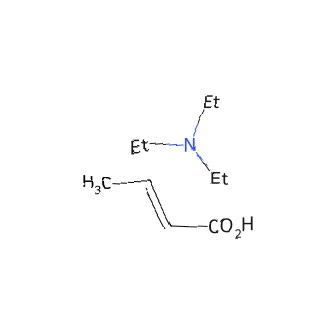 CC=CC(=O)O.CCN(CC)CC